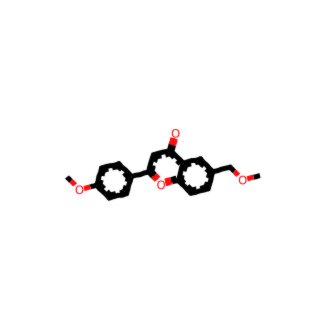 COCc1ccc2oc(-c3ccc(OC)cc3)cc(=O)c2c1